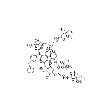 CC(C)(C)OC(=O)NCCCOc1cc(-c2cc3cc(CN4CCCCC4)ccc3n2C(=O)OC(C)(C)C)c2c(c1Cl)CNC2C(=O)C1NCc2c(Cl)c(OCCCNC(=O)OC(C)(C)C)cc(-c3cc4cc(CN5CCCCC5)ccc4n3C(=O)OC(C)(C)C)c21